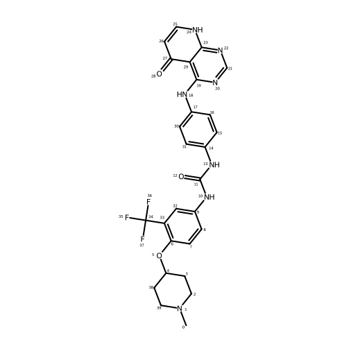 CN1CCC(Oc2ccc(NC(=O)Nc3ccc(Nc4ncnc5[nH]ccc(=O)c45)cc3)cc2C(F)(F)F)CC1